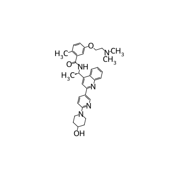 Cc1ccc(OCCN(C)C)cc1C(=O)N[C@H](C)c1cc(-c2ccc(N3CCC(O)CC3)nc2)nc2ccccc12